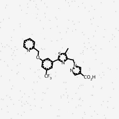 Cc1sc(-c2cc(OCc3ccccn3)cc(C(F)(F)F)c2)nc1Cn1cc(C(=O)O)cn1